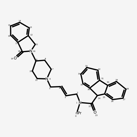 CCCN(CC=CCN1CCC(N2Cc3ccccc3C2=O)CC1)C(=O)C1c2ccccc2-c2ccccc21